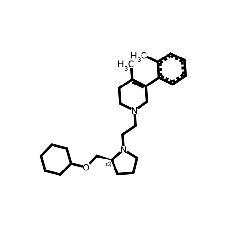 CC1=C(c2ccccc2C)CN(CCN2CCC[C@H]2COC2CCCCC2)CC1